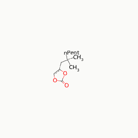 CCCCCC(C)(C)Cc1coc(=O)o1